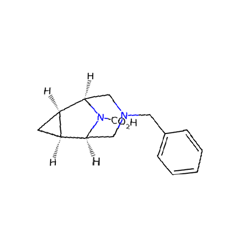 O=C(O)N1[C@@H]2CN(Cc3ccccc3)C[C@H]1[C@H]1C[C@H]12